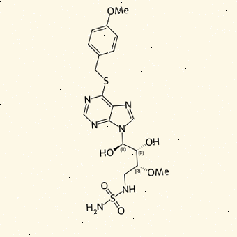 COc1ccc(CSc2ncnc3c2ncn3[C@H](O)[C@H](O)[C@@H](CNS(N)(=O)=O)OC)cc1